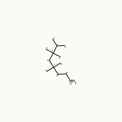 CC(C)C(C)(C)CC(C)(C)CCN